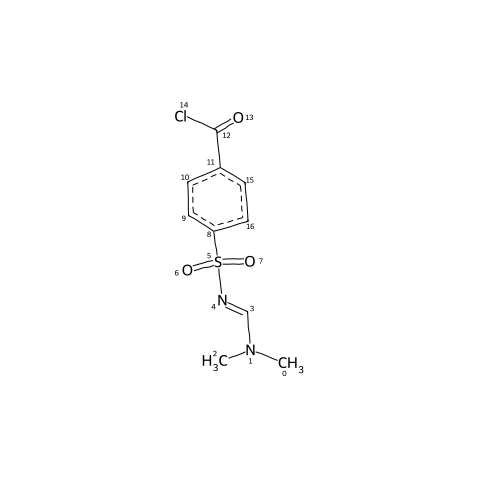 CN(C)C=NS(=O)(=O)c1ccc(C(=O)Cl)cc1